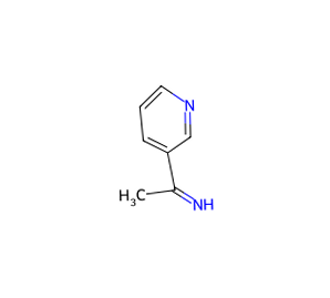 CC(=N)c1cccnc1